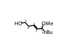 CCCCC(C=CCCO)OC